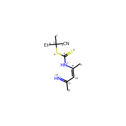 CCC(C)(C#N)SC(=S)N/C(C)=C\C(C)=N